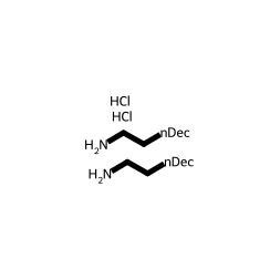 CCCCCCCCCCCCN.CCCCCCCCCCCCN.Cl.Cl